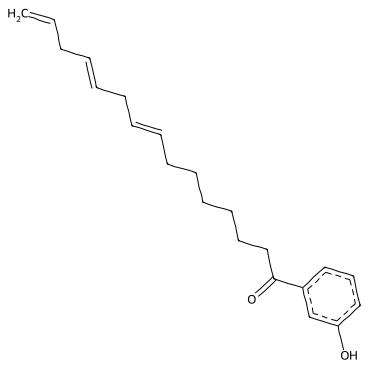 C=CCC=CCC=CCCCCCCC(=O)c1cccc(O)c1